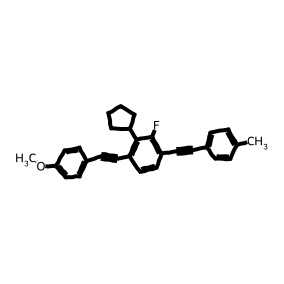 COc1ccc(C#Cc2ccc(C#Cc3ccc(C)cc3)c(F)c2C2CCCC2)cc1